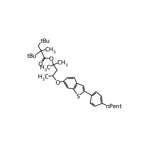 CCCCCc1ccc(-c2cc3ccc(OC(C)CC(C)(C)OC(=O)C(C)(CC(C)(C)C)C(C)(C)C)cc3s2)cc1